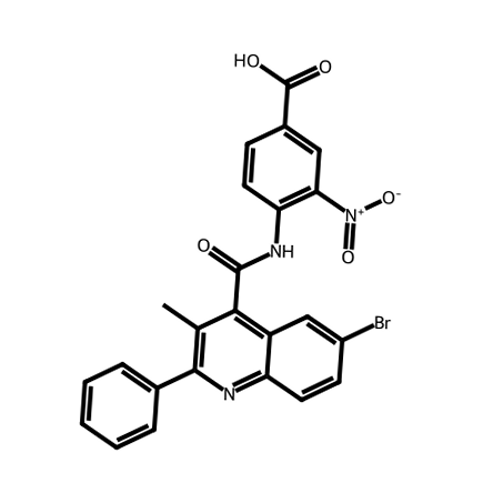 Cc1c(-c2ccccc2)nc2ccc(Br)cc2c1C(=O)Nc1ccc(C(=O)O)cc1[N+](=O)[O-]